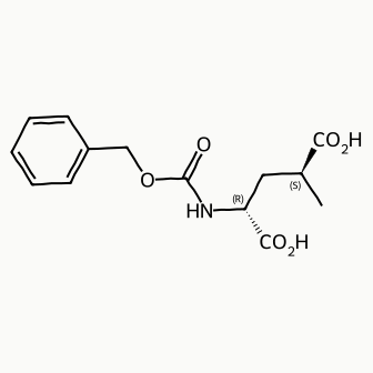 C[C@@H](C[C@@H](NC(=O)OCc1ccccc1)C(=O)O)C(=O)O